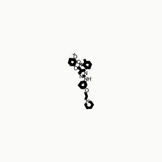 COc1ccccc1ON(C(=O)c1cnc(Nc2cccc(OCCCN3CCCCC3)c2)nc1)c1c(C)cccc1C